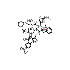 CC(C)C[C@@H](c1csc(N)n1)N(C(=O)C[C@@H](O)CCC1CCCCC1)N(C(=O)[C@H](Cc1cn(-c2ccc([N+](=O)[O-])cc2[N+](=O)[O-])cn1)NC(=O)OC(C)(C)C)C(=O)[C@@H](N)Cc1ccccc1